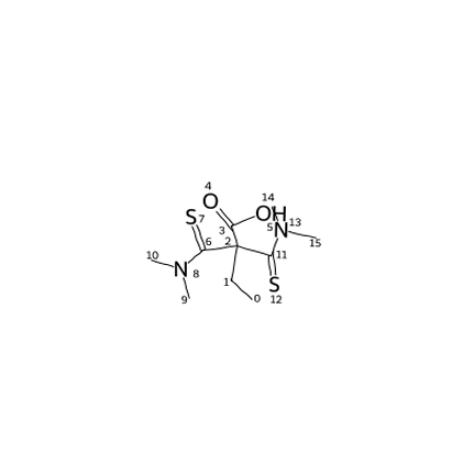 CCC(C(=O)O)(C(=S)N(C)C)C(=S)N(C)C